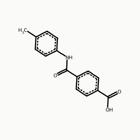 Cc1ccc(NC(=O)c2ccc(C(=O)O)cc2)cc1